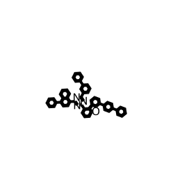 c1ccc(-c2ccc(-c3cccc4c3oc3cccc(-c5nc(-c6cccc(-c7ccccc7)c6)nc(-c6ccc(-c7ccccc7)c7ccccc67)n5)c34)cc2)cc1